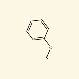 [S]Oc1ccccc1